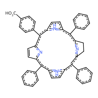 O=C(O)c1ccc(-c2c3nc(c(-c4ccccc4)c4ccc([nH]4)c(-c4ccccc4)c4nc(c(-c5ccccc5)c5ccc2[nH]5)CC4)C=C3)cc1